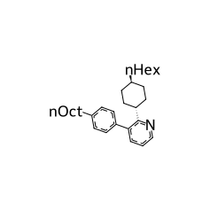 CCCCCCCCc1ccc(-c2cccnc2[C@H]2CC[C@H](CCCCCC)CC2)cc1